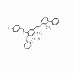 Cc1c(/C=C/c2cc(OCc3ccc(F)cc3)c(CN3CCCC[C@H]3C(=O)O)cc2C(F)(F)F)cccc1-c1ccccc1